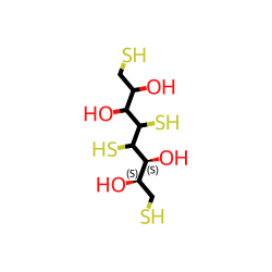 OC(CS)C(O)C(S)C(S)[C@@H](O)[C@H](O)CS